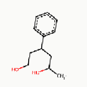 [CH2]C(O)CC(CCO)c1ccccc1